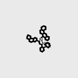 NC(/C=C(\N=C\c1c2ccccc2cc2c1ccc1ccccc12)c1ccc2c(ccc3ccccc32)c1)c1ccccc1-c1ccccc1